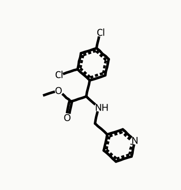 COC(=O)C(NCc1cccnc1)c1ccc(Cl)cc1Cl